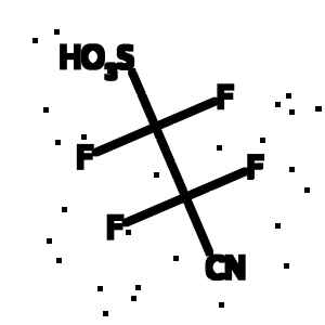 N#CC(F)(F)C(F)(F)S(=O)(=O)O